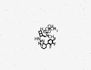 CN(/C=C1\C2CCC2[C@H]1Nc1nc2n(n1)CCCC2c1ccc(F)c(F)c1F)C(=O)OC(C)(C)C